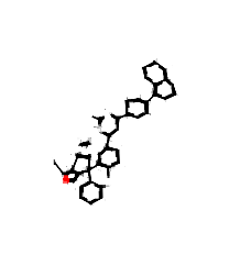 Cc1nc(-c2ccc(-c3cccc4ccccc34)cc2)cc(-c2ccc3c(c2)C2(c4ccccc4O3)c3ccccc3-c3c(Cl)cccc32)n1